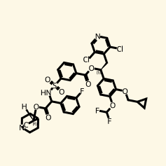 O=C(O[C@@H](Cc1c(Cl)cncc1Cl)c1ccc(OC(F)F)c(OCC2CC2)c1)c1cccc(S(=O)(=O)NC(C(=O)O[C@H]2CN3CCC2CC3)c2cccc(F)c2)c1